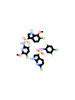 COc1nc(NS(=O)(=O)c2c[nH]c3c(OC)c(Cl)ccc23)c(F)cc1Cl.O=S(=O)(Nc1cc(F)c(Cl)cc1F)c1c[nH]c2nc(Cl)ccc12